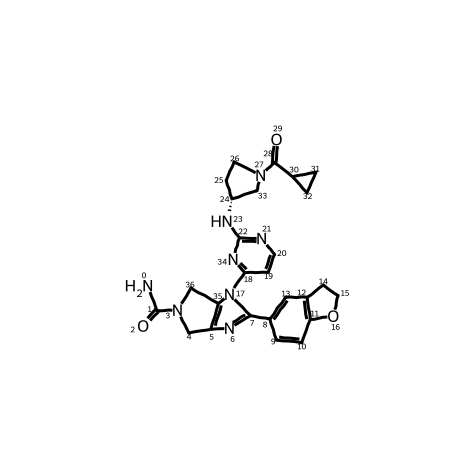 NC(=O)N1Cc2nc(-c3ccc4c(c3)CCO4)n(-c3ccnc(N[C@@H]4CCN(C(=O)C5CC5)C4)n3)c2C1